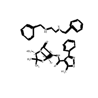 Cc1onc(-c2ccccc2)c1C(=O)N[C@@H]1C(=O)N2[C@@H]1SC(C)(C)[C@@H]2C(=O)O.c1ccc(CNCCNCc2ccccc2)cc1